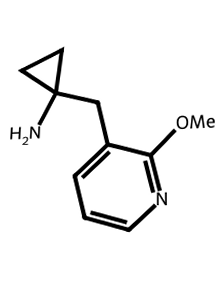 COc1ncccc1CC1(N)CC1